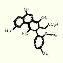 CC1=c2nc(O)c3ccc(C)cc3c2=C(C)C(c2ccc(C)cc2OC(C)(C)C)C1CC(=O)O